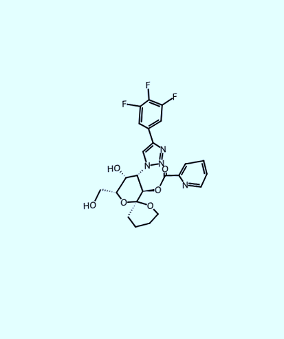 O=C(O[C@@H]1[C@@H](n2cc(-c3cc(F)c(F)c(F)c3)nn2)[C@@H](O)[C@@H](CO)O[C@@]12CCCCO2)c1ccccn1